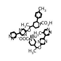 Cc1ccc(C2CC([C@H](C)Oc3cnc(-c4ccnnc4)cn3)CCN2C(=O)O)cc1.Cc1cnncc1-c1cnc(O[C@@H](C)C2CC[N+](C(=O)[O-])(C(C)(C)C)CC2)cn1